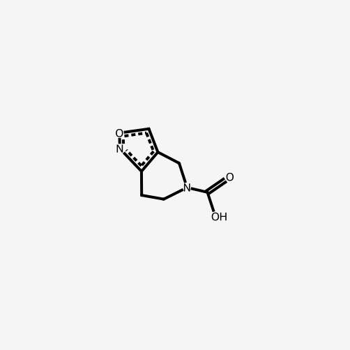 O=C(O)N1CCc2nocc2C1